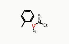 CC[O][Al]([CH2]C)[CH2]C.Cc1ccccc1